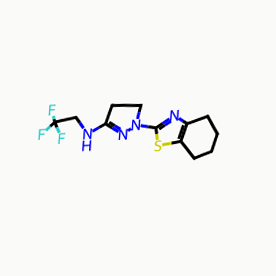 FC(F)(F)CNC1=NN(c2nc3c(s2)CCCC3)CC1